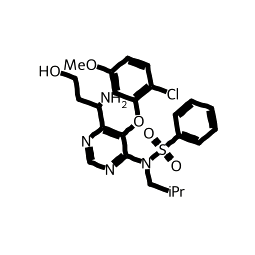 COc1ccc(Cl)c(Oc2c(C(N)CCO)ncnc2N(CC(C)C)S(=O)(=O)c2ccccc2)c1